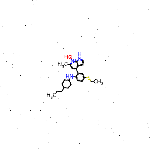 CCCC1CCC(Nc2ccc(SCC)cc2-c2cc(C)[n+](O)c3[nH]ccc23)CC1